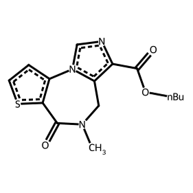 CCCCOC(=O)c1ncn2c1CN(C)C(=O)c1sccc1-2